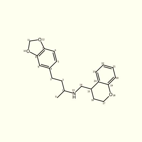 CC(CCc1ccc2c(c1)OCO2)NCC1CCOc2ccccc21